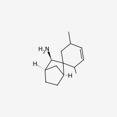 CC1C=CC(C)C2(C1)[C@H]1CC[C@H](C1)[C@H]2N